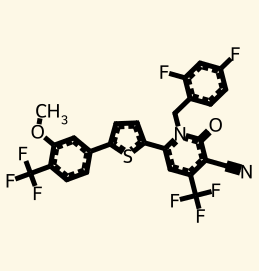 COc1cc(-c2ccc(-c3cc(C(F)(F)F)c(C#N)c(=O)n3Cc3ccc(F)cc3F)s2)ccc1C(F)(F)F